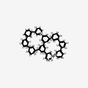 c1cncc(-c2cccc(-c3cccc(-c4cccc(-c5cc(-c6cncnc6)cc(-c6cccc(-c7cccc(-c8cccc(-c9cccnc9)c8)c7)c6)c5)c4)c3)c2)c1